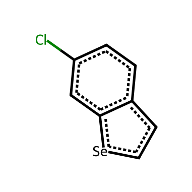 Clc1ccc2cc[se]c2c1